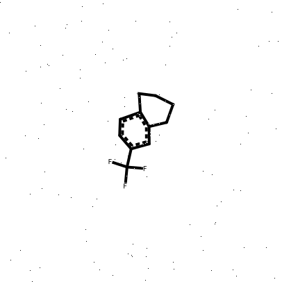 FC(F)(F)c1ccc2c(c1)CCC[CH]2